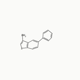 Bc1csc2ccc(-c3ccccc3)cc12